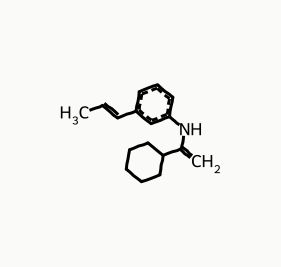 C=C(Nc1cccc(/C=C/C)c1)C1CCCCC1